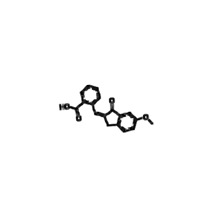 COc1ccc2c(c1)C(=O)C(=Cc1ccccc1C(=O)O)C2